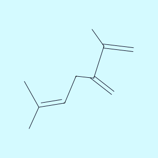 C=C(C)C(=C)CC=C(C)C